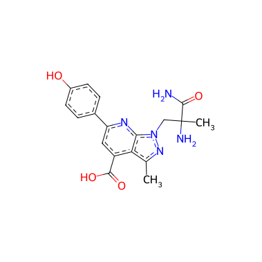 Cc1nn(CC(C)(N)C(N)=O)c2nc(-c3ccc(O)cc3)cc(C(=O)O)c12